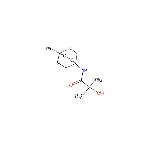 CC(C)C12CCC(NC(=O)C(C)(O)C(C)(C)C)(CC1)CC2